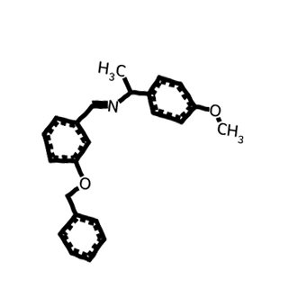 COc1ccc(C(C)N=Cc2cccc(OCc3ccccc3)c2)cc1